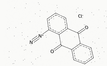 N#[N+]c1cccc2c1C(=O)c1ccccc1C2=O.[Cl-]